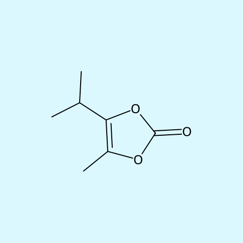 Cc1oc(=O)oc1C(C)C